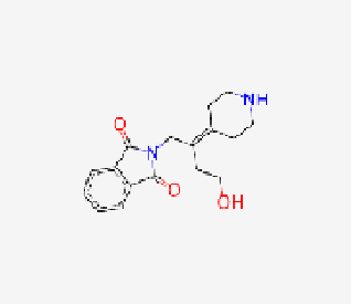 O=C1c2ccccc2C(=O)N1CC(CCO)=C1CCNCC1